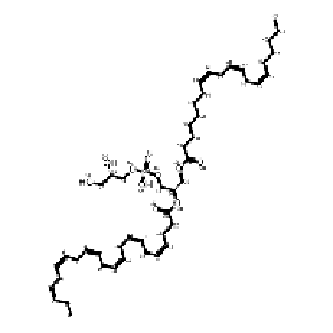 CC/C=C\C/C=C\C/C=C\C/C=C\C/C=C\C/C=C\CCC(=O)O[C@H](COC(=O)CCCCCC/C=C\C/C=C\C/C=C\CCCCC)COP(=O)(O)OC[C@@H](O)CO